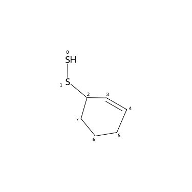 SSC1C=CCCC1